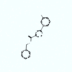 O=C(O)c1cccc(-c2noc(C(=O)OCc3ccccc3)n2)c1